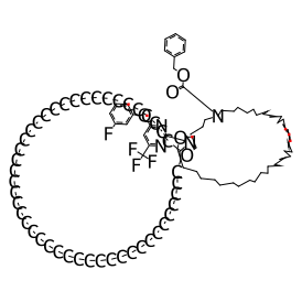 O=C(OCc1ccccc1)N1CCCCCCCCCCCCCCCCCCCCCCCCCCCCCCCCCCCCCCCCC2(CCCCCCCCCCCCCCCCCCCCCCCCCCCCCCCCCCCCCCCCCCCCCC23OCCO3)CN(c2nc(Oc3cccc(F)c3)cc(C(F)(F)F)n2)CCC1